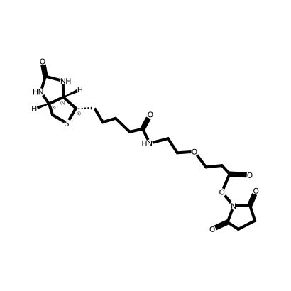 O=C(CCCC[C@@H]1SC[C@@H]2NC(=O)N[C@@H]21)NCCOCCC(=O)ON1C(=O)CCC1=O